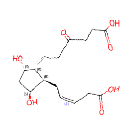 O=C(O)C/C=C\C[C@@H]1[C@@H](CCC(=O)CCC(=O)O)[C@@H](O)C[C@@H]1O